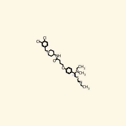 CCN=CS/C=C(/c1ccc(OCCCC(=O)NC2CCN(Cc3ccc(Cl)c(Cl)c3)CC2)cc1)N(C)CC